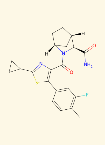 Cc1ccc(-c2sc(C3CC3)nc2C(=O)N2[C@@H]3CC[C@@H](C3)[C@H]2C(N)=O)cc1F